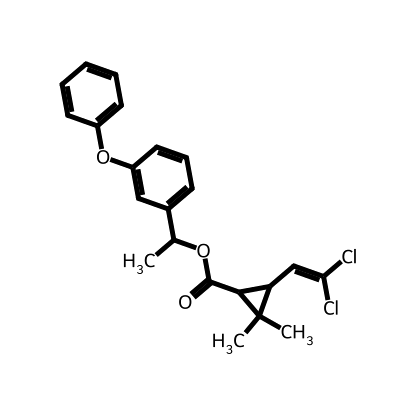 CC(OC(=O)C1C(C=C(Cl)Cl)C1(C)C)c1cccc(Oc2ccccc2)c1